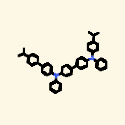 CC(C)c1ccc(-c2ccc(N(c3ccccc3)c3ccc(-c4ccc(N(c5ccccc5)c5ccc(C(C)C)cc5)cc4)cc3)cc2)cc1